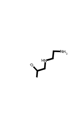 CC([O])CNCCN